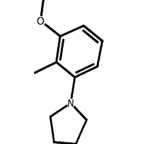 COc1cccc(N2CCCC2)c1C